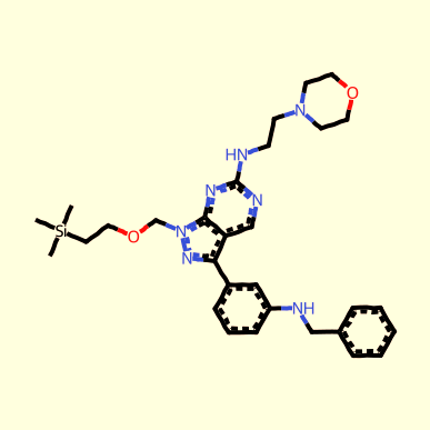 C[Si](C)(C)CCOCn1nc(-c2cccc(NCc3ccccc3)c2)c2cnc(NCCN3CCOCC3)nc21